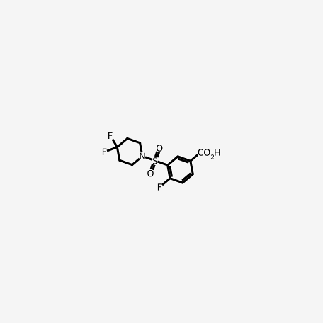 O=C(O)c1ccc(F)c(S(=O)(=O)N2CCC(F)(F)CC2)c1